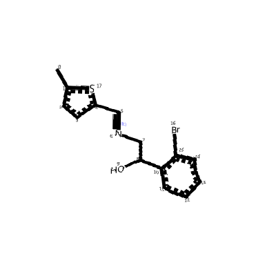 Cc1ccc(/C=N/CC(O)c2ccccc2Br)s1